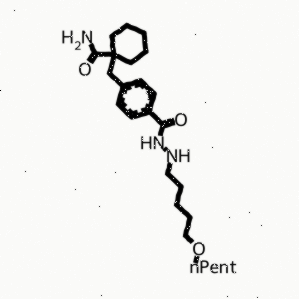 CCCCCOCCCCCNNC(=O)c1ccc(CC2(C(N)=O)CCCCC2)cc1